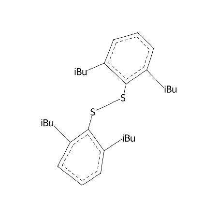 CCC(C)c1cccc(C(C)CC)c1SSc1c(C(C)CC)cccc1C(C)CC